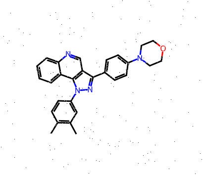 Cc1ccc(-n2nc(-c3ccc(N4CCOCC4)cc3)c3cnc4ccccc4c32)cc1C